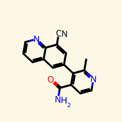 Cc1nccc(C(N)=O)c1-c1cc(C#N)c2ncccc2c1